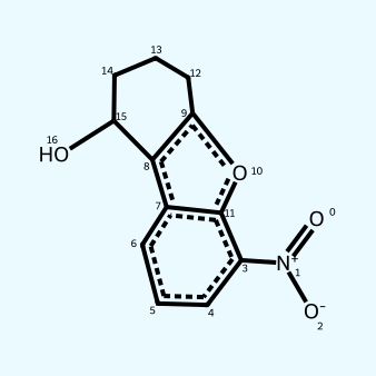 O=[N+]([O-])c1cccc2c3c(oc12)CCCC3O